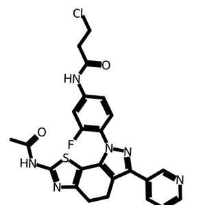 CC(=O)Nc1nc2c(s1)-c1c(c(-c3cccnc3)nn1-c1ccc(NC(=O)CCCl)cc1F)CC2